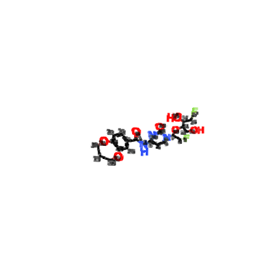 O=C(Nc1ccn(C(CF)OC(CO)C(O)CF)c(=O)n1)c1ccc2c(c1)OCCCO2